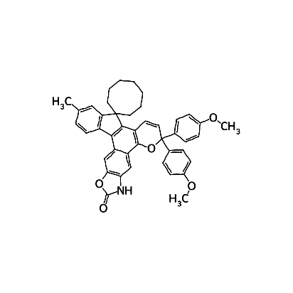 COc1ccc(C2(c3ccc(OC)cc3)C=Cc3c4c(c5cc6oc(=O)[nH]c6cc5c3O2)-c2ccc(C)cc2C42CCCCCCC2)cc1